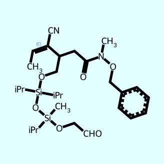 C/C=C(/C#N)C(CO[Si](O[Si](C)(OCC=O)C(C)C)(C(C)C)C(C)C)CC(=O)N(C)OCc1ccccc1